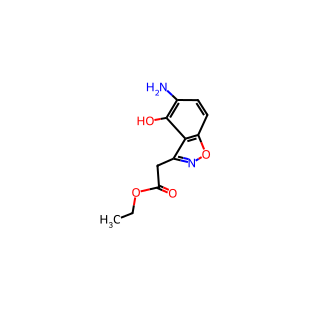 CCOC(=O)Cc1noc2ccc(N)c(O)c12